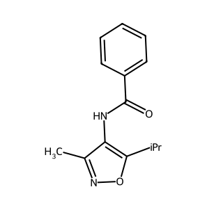 Cc1noc(C(C)C)c1NC(=O)c1ccccc1